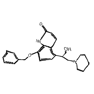 O=c1ccc2c([C@@H](O)CN3CCCCC3)ccc(OCc3ccccc3)c2[nH]1